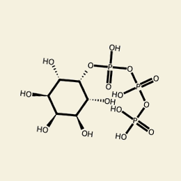 O=P(O)(O)OP(=O)(O)OP(=O)(O)O[C@@H]1[C@H](O)[C@@H](O)[C@@H](O)[C@@H](O)[C@@H]1O